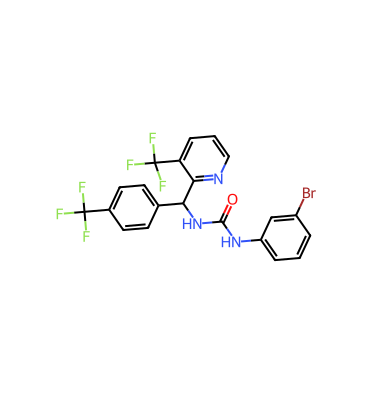 O=C(Nc1cccc(Br)c1)NC(c1ccc(C(F)(F)F)cc1)c1ncccc1C(F)(F)F